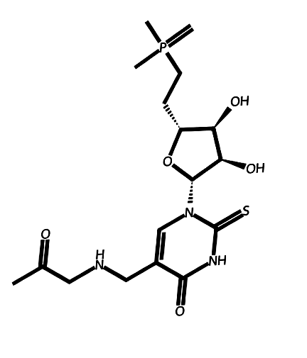 C=P(C)(C)CC[C@H]1O[C@@H](n2cc(CNCC(C)=O)c(=O)[nH]c2=S)[C@H](O)[C@@H]1O